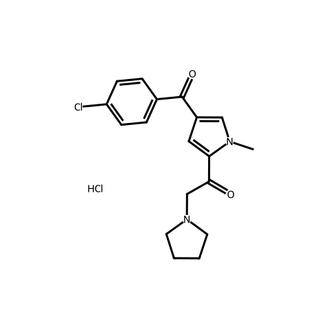 Cl.Cn1cc(C(=O)c2ccc(Cl)cc2)cc1C(=O)CN1CCCC1